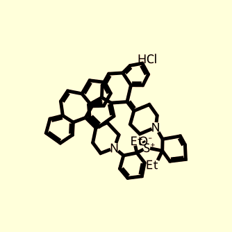 CCC1([S+]([O-])C2(CC)C=CC=CC2N2CCC(=C3c4ccccc4C=Cc4ccccc43)CC2)C=CC=CC1N1CCC(=C2c3ccccc3C=Cc3ccccc32)CC1.Cl